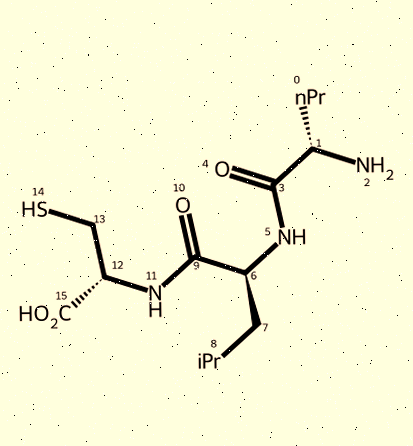 CCC[C@H](N)C(=O)N[C@@H](CC(C)C)C(=O)N[C@@H](CS)C(=O)O